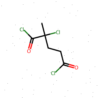 CC(Cl)(CCC(=O)Cl)C(=O)Cl